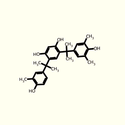 Cc1cc(C(C)(C)c2cc(C(C)(C)c3cc(C)c(O)c(C)c3)c(O)cc2O)ccc1O